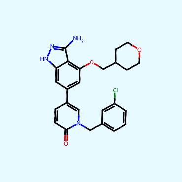 Nc1n[nH]c2cc(-c3ccc(=O)n(Cc4cccc(Cl)c4)c3)cc(OCC3CCOCC3)c12